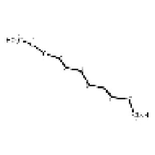 O=C(O)CCCC[CH]CCCCC(=O)O